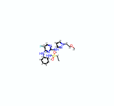 CCS(=O)(=O)Nc1ccccc1Nc1nc(Nc2ccn(CCOC)n2)ncc1F